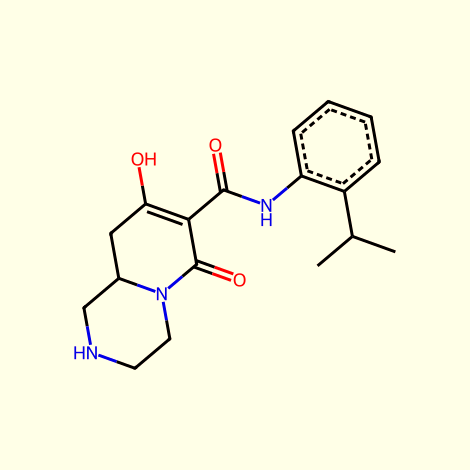 CC(C)c1ccccc1NC(=O)C1=C(O)CC2CNCCN2C1=O